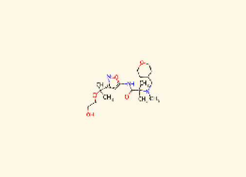 CN(CC1CCOCC1)C(C)(C)C(=O)Nc1cc(C(C)(C)OCCO)no1